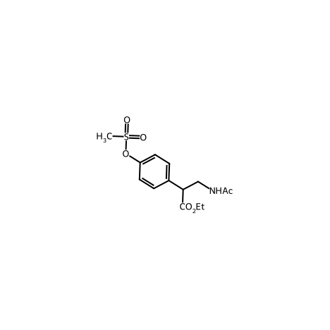 CCOC(=O)C(CNC(C)=O)c1ccc(OS(C)(=O)=O)cc1